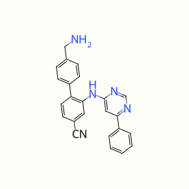 N#Cc1ccc(-c2ccc(CN)cc2)c(Nc2cc(-c3ccccc3)ncn2)c1